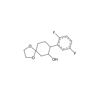 OC1CC2(CCC1c1cc(F)ccc1F)OCCO2